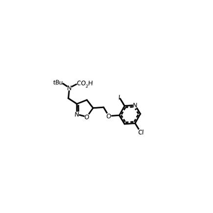 CC(C)(C)N(CC1=NOC(COc2cc(Cl)cnc2I)C1)C(=O)O